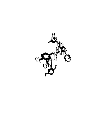 Cc1cc(Nc2nc(NCc3ccc(Cl)c(C(=O)Nc4cc(F)ccc4F)c3)nc3c2cnn3C2CCOCC2)n[nH]1